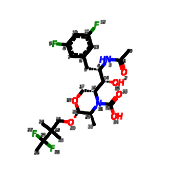 CC(=O)N[C@@H](Cc1cc(F)cc(F)c1)[C@H](O)[C@H]1CO[C@@H](OCC(C)(C)C(C)(F)F)[C@H](C)N1C(=O)O